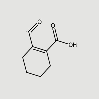 O=[C]C1=C(C(=O)O)CCCC1